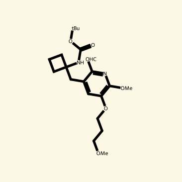 COCCCOc1cc(CC2(NC(=O)OC(C)(C)C)CCC2)c(C=O)nc1OC